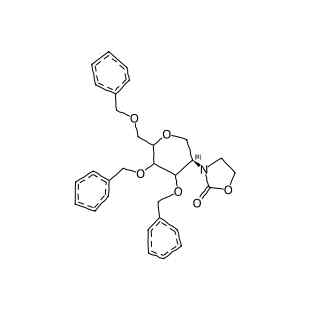 O=C1OCCN1[C@@H]1COC(COCc2ccccc2)C(OCc2ccccc2)C1OCc1ccccc1